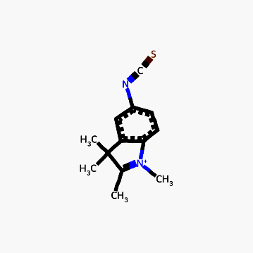 CC1=[N+](C)c2ccc(N=C=S)cc2C1(C)C